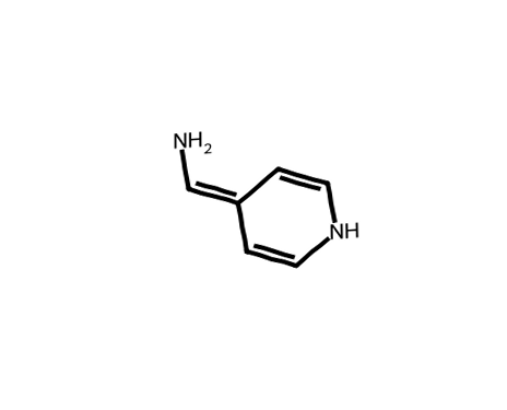 NC=C1C=CNC=C1